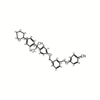 CC(C)(c1ccc(OCc2cccc(COc3ccc(C#N)cc3)c2)cc1)c1ccc(C2CCCCO2)cc1